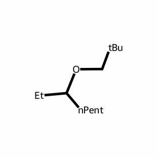 [CH2]CC(CCCCC)OCC(C)(C)C